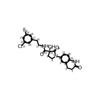 O=C1CCc2cc(N3CC[C@](O)(C(=O)NCCc4cc(F)cc(Cl)c4)C3=O)ccc2N1